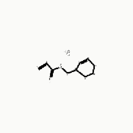 C=CC(=O)OCC1C=CCCC1.O